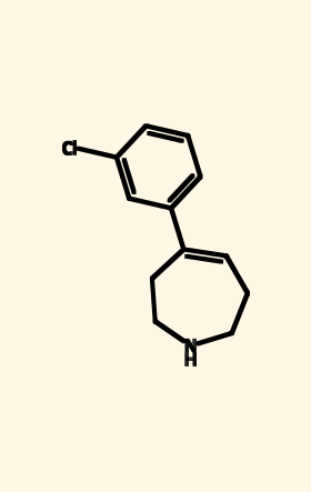 Clc1cccc(C2=CCCNCC2)c1